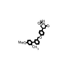 COc1ccc(-c2cccc(COc3ccc(C4CC(=O)NS(=O)(=O)C4)cc3)c2)c(C)c1